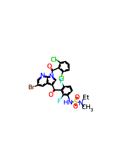 CCN(C)S(=O)(=O)Nc1ccc(F)c(C(=O)c2cn(C(=O)c3c(Cl)cccc3Cl)c3ncc(Br)cc23)c1F